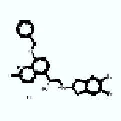 CCc1cc2c(cc1CC)CC(NC[C@H](O)c1ccc(OCc3ccccc3)c3[nH]c(=O)ccc13)C2.Cl